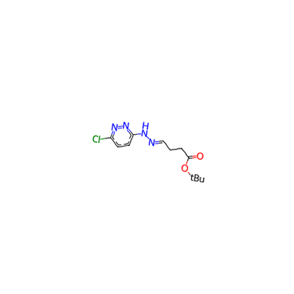 CC(C)(C)OC(=O)CCC=NNc1ccc(Cl)nn1